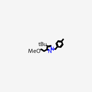 COCCc1nn(Cc2ccc(C)cc2)cc1C(C)(C)C